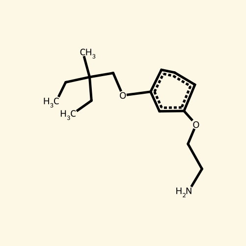 CCC(C)(CC)COc1cccc(OCCN)c1